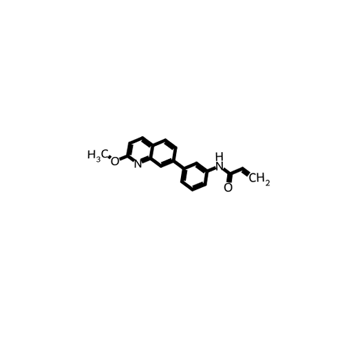 C=CC(=O)Nc1cccc(-c2ccc3ccc(OC)nc3c2)c1